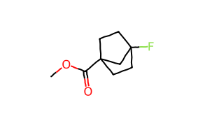 COC(=O)C12CCC(F)(CC1)C2